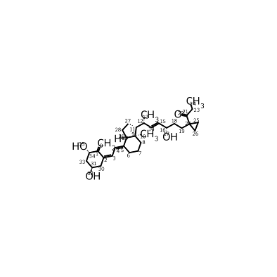 C=C1/C(=C\C=C2/CCC[C@]3(C)[C@@H]([C@H](C)/C=C/[C@@H](O)CCC4(C(=O)CC)CC4)CC[C@@H]23)C[C@@H](O)C[C@@H]1O